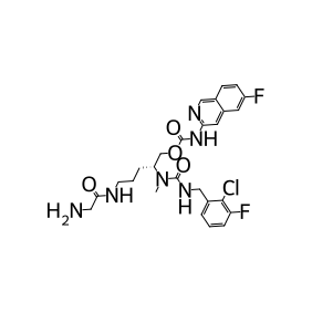 CN(C(=O)NCc1cccc(F)c1Cl)[C@H](CCCNC(=O)CN)COC(=O)Nc1cc2cc(F)ccc2cn1